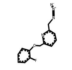 [N-]=[N+]=NCc1cccc(COc2ccccc2F)n1